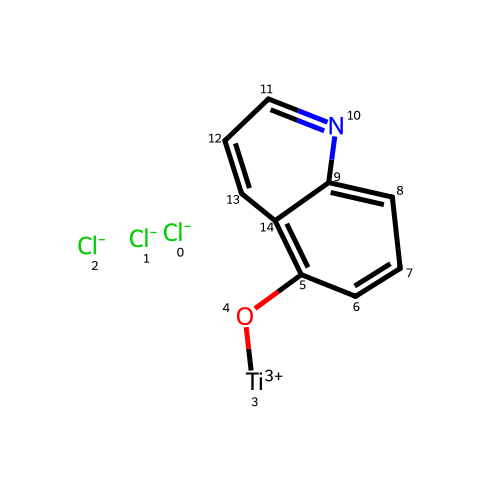 [Cl-].[Cl-].[Cl-].[Ti+3][O]c1cccc2ncccc12